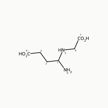 NC(CCC(=O)O)NCC(=O)O